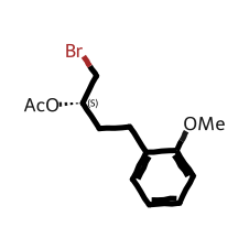 COc1ccccc1CC[C@@H](CBr)OC(C)=O